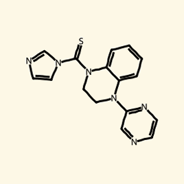 S=C(N1CCN(c2cnccn2)c2ccccc21)n1ccnc1